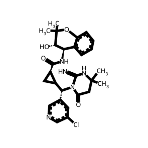 CC1(C)CC(=O)N([C@H](c2cncc(Cl)c2)C2C[C@H]2C(=O)N[C@@H]2c3ccccc3OC(C)(C)[C@H]2O)C(=N)N1